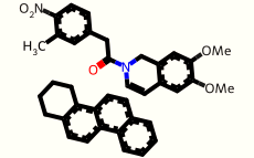 COc1cc2c(cc1OC)CN(C(=O)Cc1ccc([N+](=O)[O-])c(C)c1)C=C2.c1ccc2c(c1)ccc1c3c(ccc12)CCCC3